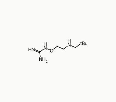 CC(C)(C)CNCCONC(=N)N